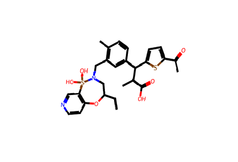 CCC1CN(Cc2cc(C(c3ccc(C(C)=O)s3)C(C)C(=O)O)ccc2C)S(O)(O)c2cnccc2O1